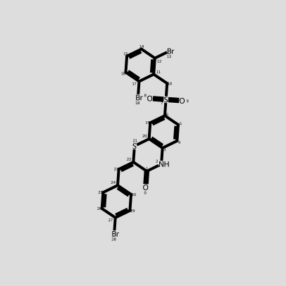 O=C1Nc2ccc(S(=O)(=O)Cc3c(Br)cccc3Br)cc2S/C1=C/c1ccc(Br)cc1